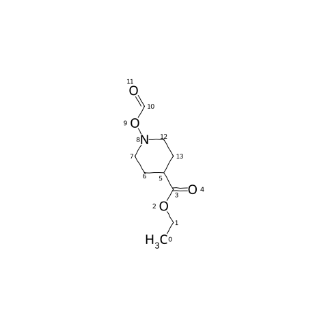 CCOC(=O)C1CCN(OC=O)CC1